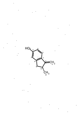 C=C1c2ccc(O)cc2CC1C